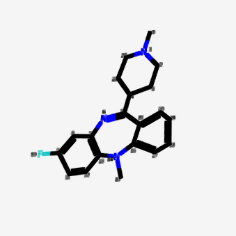 CN1CCC(C2=Nc3cc(F)ccc3N(C)c3ccccc32)CC1